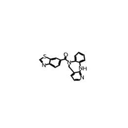 O=C(c1ccc2ncsc2c1)N1Cc2cccnc2Nc2ccccc21